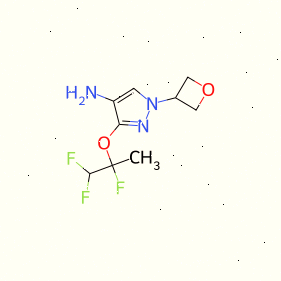 CC(F)(Oc1nn(C2COC2)cc1N)C(F)F